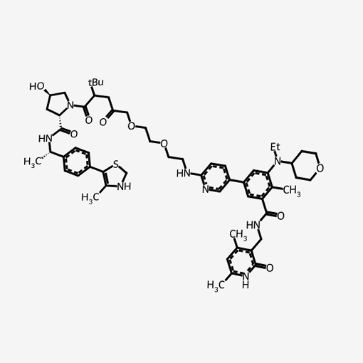 CCN(c1cc(-c2ccc(NCCOCCOCC(=O)CC(C(=O)N3C[C@H](O)C[C@H]3C(=O)N[C@@H](C)c3ccc(C4=C(C)NCS4)cc3)C(C)(C)C)nc2)cc(C(=O)NCc2c(C)cc(C)[nH]c2=O)c1C)C1CCOCC1